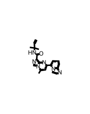 C#CC(C)(C)NC(=O)c1ncn2c(C)cc(-c3cccc4nccn34)nc12